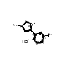 Cl.Fc1cccc(C2CC(F)CN2)c1